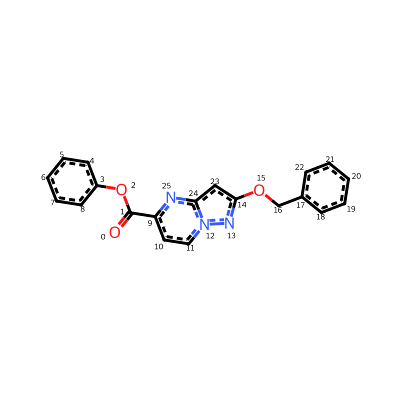 O=C(Oc1ccccc1)c1ccn2nc(OCc3ccccc3)cc2n1